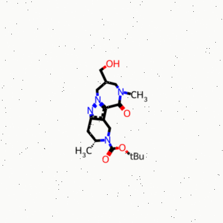 C[C@@H]1Cc2nn3c(c2CN1C(=O)OC(C)(C)C)C(=O)N(C)CC(CO)C3